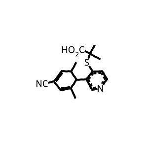 CC1=CC(C#N)=CC(C)C1c1cnccc1SC(C)(C)C(=O)O